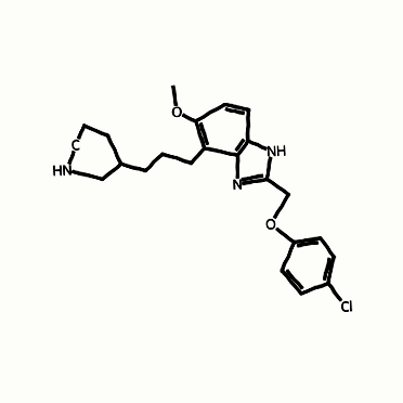 COc1ccc2[nH]c(COc3ccc(Cl)cc3)nc2c1CCCC1CCCNC1